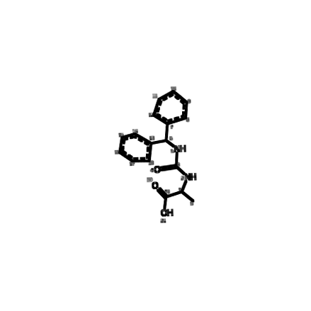 CC(NC(=O)NC(c1ccccc1)c1ccccc1)C(=O)O